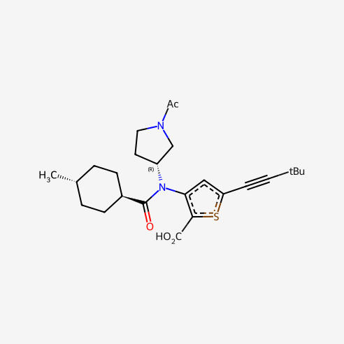 CC(=O)N1CC[C@@H](N(c2cc(C#CC(C)(C)C)sc2C(=O)O)C(=O)[C@H]2CC[C@H](C)CC2)C1